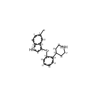 Cc1ccc2[nH]cc(Sc3ccccc3C3CCNCC3)c2c1